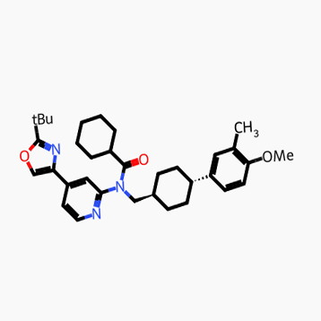 COc1ccc([C@H]2CC[C@H](CN(C(=O)C3CCCCC3)c3cc(-c4coc(C(C)(C)C)n4)ccn3)CC2)cc1C